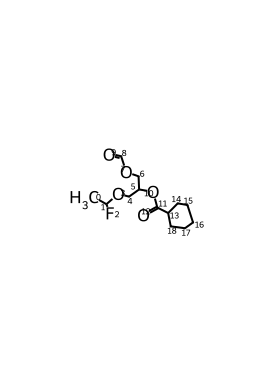 CC(F)OCC(COC=O)OC(=O)C1CCCCC1